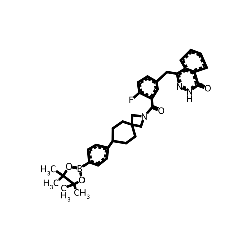 CC1(C)OB(c2ccc(C3CCC4(CC3)CN(C(=O)c3cc(Cc5n[nH]c(=O)c6ccccc56)ccc3F)C4)cc2)OC1(C)C